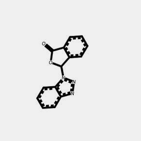 O=C1OC(n2nnc3ccccc32)c2ccccc21